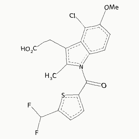 COc1ccc2c(c1Cl)c(CC(=O)O)c(C)n2C(=O)c1ccc(C(F)F)s1